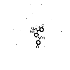 CN1C(=O)Nc2ccc(C(O)c3ccc(Cl)cc3)cc2C1c1cccc(Cl)c1